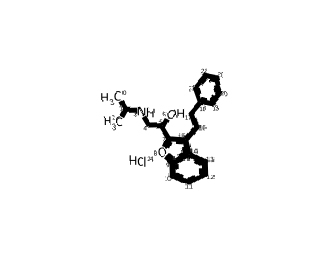 CC(C)NCC(O)c1oc2ccccc2c1CCc1ccccc1.Cl